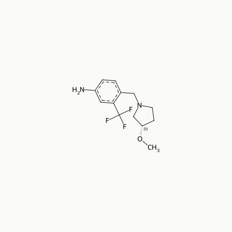 CO[C@H]1CCN(Cc2ccc(N)cc2C(F)(F)F)C1